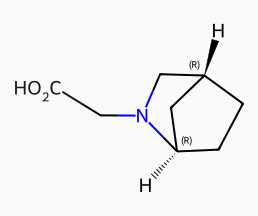 O=C(O)CN1C[C@@H]2CC[C@@H]1C2